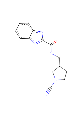 N#CN1CC[C@H](CNC(=O)c2nc3ccccc3[nH]2)C1